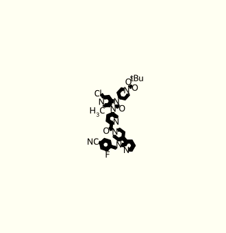 Cc1nc(Cl)cc2c1n(-c1ccc(C(=O)N3CCc4c(n(Cc5ccc(C#N)cc5F)c5ncccc45)C3)nc1)c(=O)n2C1CCN(C(=O)OC(C)(C)C)CC1